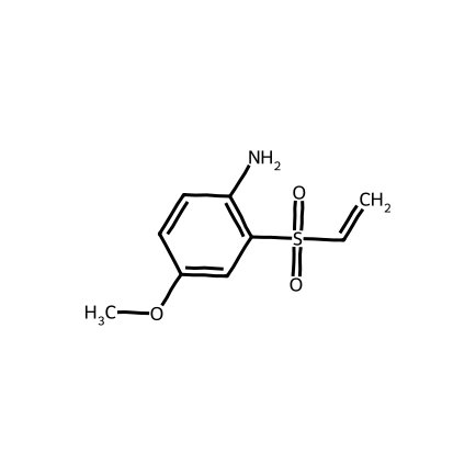 C=CS(=O)(=O)c1cc(OC)ccc1N